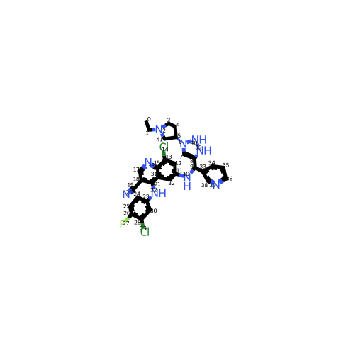 CCN1CC[C@@H](N2C=C(C(Nc3cc(Cl)c4ncc(C#N)c(Nc5ccc(F)c(Cl)c5)c4c3)c3cccnc3)NN2)C1